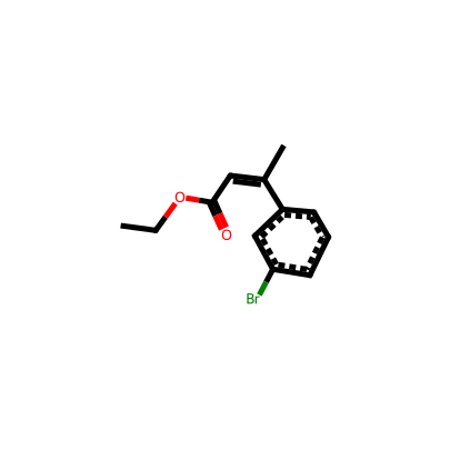 CCOC(=O)/C=C(/C)c1cccc(Br)c1